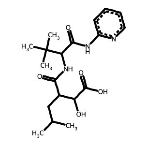 CC(C)CC(C(=O)NC(C(=O)Nc1ccccn1)C(C)(C)C)C(O)C(=O)O